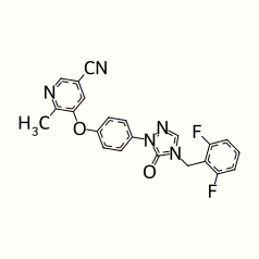 Cc1ncc(C#N)cc1Oc1ccc(-n2ncn(Cc3c(F)cccc3F)c2=O)cc1